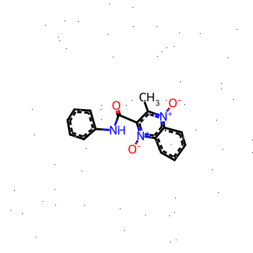 Cc1c(C(=O)Nc2ccccc2)[n+]([O-])c2ccccc2[n+]1[O-]